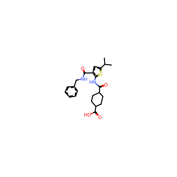 CC(C)c1cc(C(=O)NCc2ccccc2)c(NC(=O)C2CCC(C(=O)O)CC2)s1